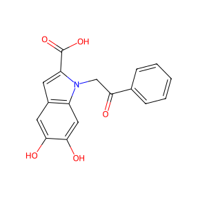 O=C(Cn1c(C(=O)O)cc2cc(O)c(O)cc21)c1ccccc1